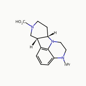 CCCN1CCN2c3c(cccc31)[C@@H]1CN(C(=O)O)CC[C@@H]12